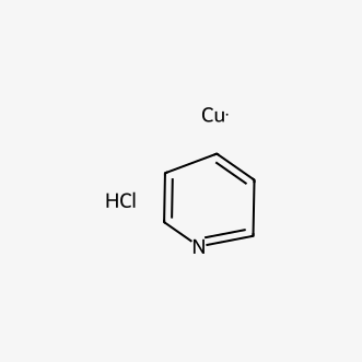 Cl.[Cu].c1ccncc1